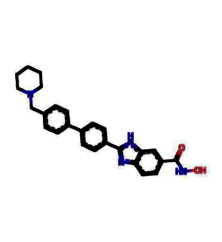 O=C(NO)c1ccc2nc(-c3ccc(-c4ccc(CN5CCCCC5)cc4)cc3)[nH]c2c1